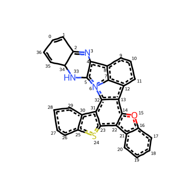 C1=CC2=Nc3c(n4c5c3cccc5c3c5oc6ccccc6c5c5sc6ccccc6c5c34)NC2C=C1